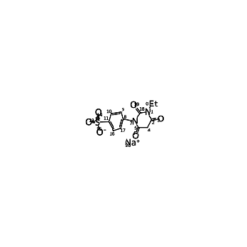 CCN1C(=O)CC(=O)N(c2ccc(S(=O)(=O)[O-])cc2)C1=O.[Na+]